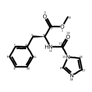 COC(=O)[C@H](Cc1ccccc1)NC(=O)n1ccnc1